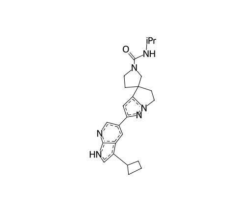 CC(C)NC(=O)N1CCC2(CCn3nc(-c4cnc5[nH]cc(C6CCC6)c5c4)cc32)C1